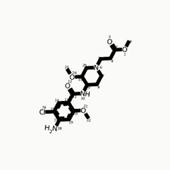 COC(=O)CCN1CCC(NC(=O)c2cc(Cl)c(N)cc2OC)C(OC)C1